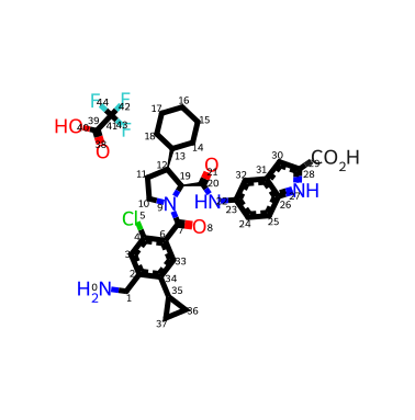 NCc1cc(Cl)c(C(=O)N2CC[C@@H](C3CCCCC3)[C@H]2C(=O)Nc2ccc3[nH]c(C(=O)O)cc3c2)cc1C1CC1.O=C(O)C(F)(F)F